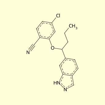 CCCC(Oc1cc(Cl)ccc1C#N)c1ccc2cn[nH]c2c1